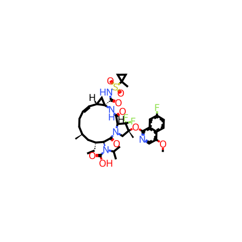 CC[C@@H]1C[C@@H](C)CC/C=C\[C@@H]2C[C@@]2(C(=O)NS(=O)(=O)C2(C)CC2)NC(=O)[C@@H]2N(C[C@@](C)(Oc3ncc(OC)c4ccc(F)cc34)C2(F)F)C(=O)[C@H]1N(C(=O)O)C(C)C